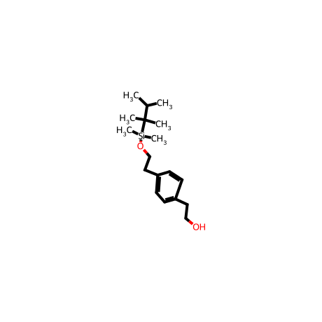 CC(C)C(C)(C)[Si](C)(C)OCCc1ccc(CCO)cc1